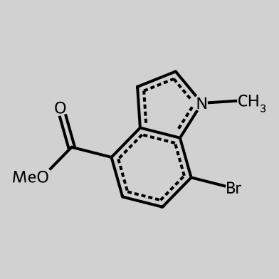 COC(=O)c1ccc(Br)c2c1ccn2C